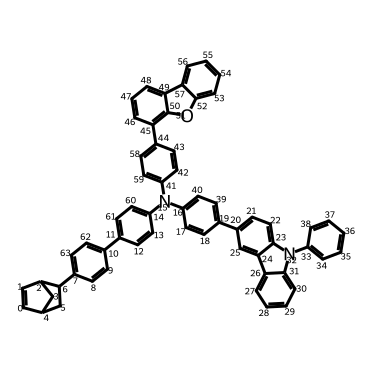 C1=CC2CC1CC2c1ccc(-c2ccc(N(c3ccc(-c4ccc5c(c4)c4ccccc4n5-c4ccccc4)cc3)c3ccc(-c4cccc5c4oc4ccccc45)cc3)cc2)cc1